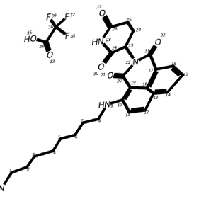 NCCCCCCCCNc1ccc2cccc3c2c1C(=O)N(C1CCC(=O)NC1=O)C3=O.O=C(O)C(F)(F)F